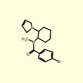 CN(C(=O)c1ccc(Br)cc1)C1CCCCC1N1CC=CC1